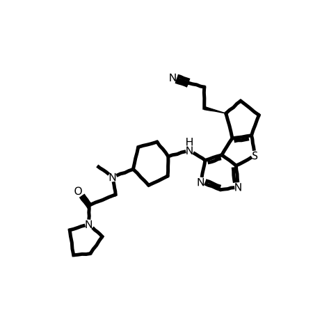 CN(CC(=O)N1CCCC1)C1CCC(Nc2ncnc3sc4c(c23)[C@@H](CCC#N)CC4)CC1